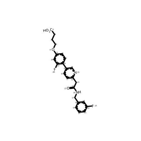 O=C(O)CCCOc1ccc(-c2ccc(CC(=O)NCc3cccc(F)c3)nc2)c(F)c1